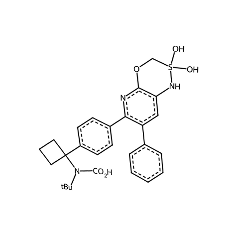 CC(C)(C)N(C(=O)O)C1(c2ccc(-c3nc4c(cc3-c3ccccc3)NS(O)(O)CO4)cc2)CCC1